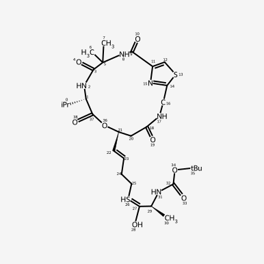 CC(C)[C@@H]1NC(=O)C(C)(C)NC(=O)c2csc(n2)CNC(=O)C[C@@H](/C=C/CC/[SH]=C(/O)[C@H](C)NC(=O)OC(C)(C)C)OC1=O